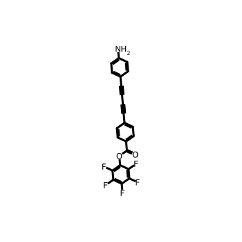 Nc1ccc(C#CC#Cc2ccc(C(=O)Oc3c(F)c(F)c(F)c(F)c3F)cc2)cc1